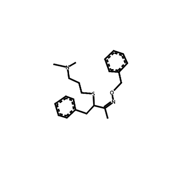 CC(=NOCc1ccccc1)C(Cc1ccccc1)SCCCN(C)C